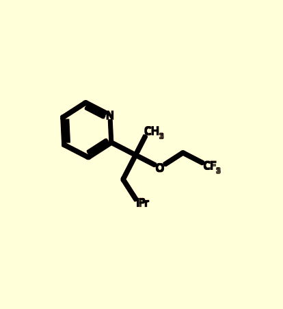 CC(C)CC(C)(OCC(F)(F)F)c1ccccn1